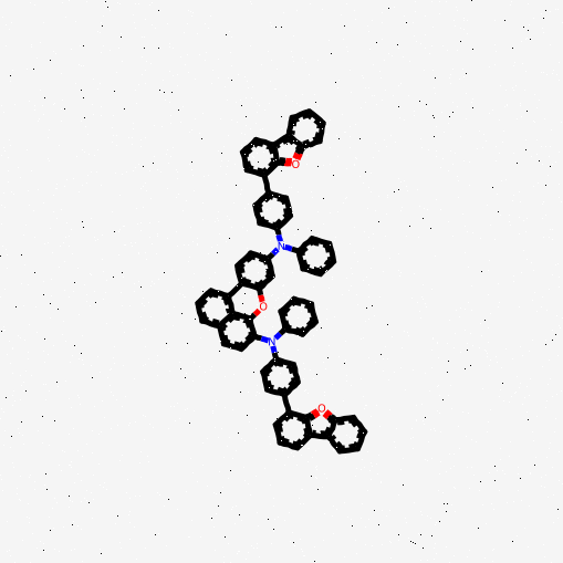 c1ccc(N(c2ccc(-c3cccc4c3oc3ccccc34)cc2)c2ccc3c(c2)Oc2c(N(c4ccccc4)c4ccc(-c5cccc6c5oc5ccccc56)cc4)ccc4cccc-3c24)cc1